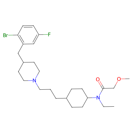 CCN(C(=O)COC)C1CCC(CCCN2CCC(Cc3cc(F)ccc3Br)CC2)CC1